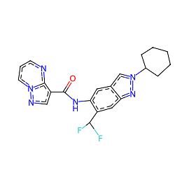 O=C(Nc1cc2cn(C3CCCCC3)nc2cc1C(F)F)c1cnn2cccnc12